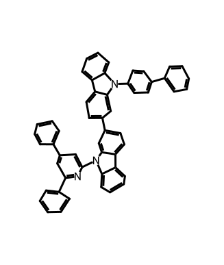 c1ccc(-c2ccc(-n3c4ccccc4c4ccc(-c5ccc6c7ccccc7n(-c7cc(-c8ccccc8)cc(-c8ccccc8)n7)c6c5)cc43)cc2)cc1